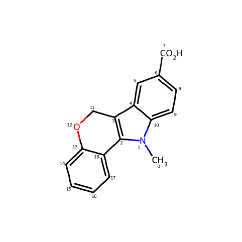 Cn1c2c(c3cc(C(=O)O)ccc31)COc1ccccc1-2